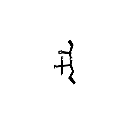 C=CCC(C[C](Cl)C=C)C(F)(F)F